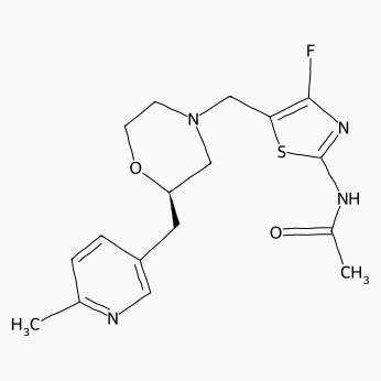 CC(=O)Nc1nc(F)c(CN2CCO[C@H](Cc3ccc(C)nc3)C2)s1